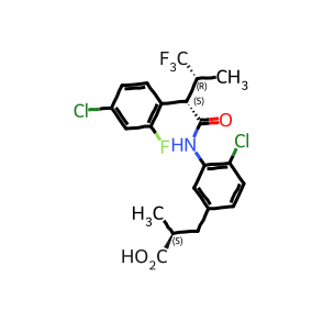 C[C@H]([C@H](C(=O)Nc1cc(C[C@H](C)C(=O)O)ccc1Cl)c1ccc(Cl)cc1F)C(F)(F)F